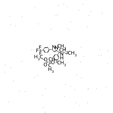 CCCNC(C)(c1ccc(OC(C)(C)C(=O)OCC)c(C)c1)c1cc(-c2ccc(C(F)(F)F)cc2)nn1C